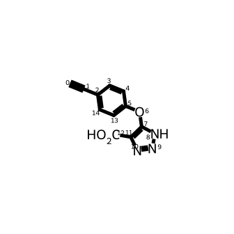 C#Cc1ccc(Oc2[nH]nnc2C(=O)O)cc1